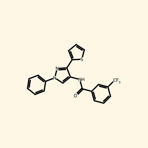 O=C(Nc1cn(-c2ccccc2)nc1-c1cccs1)c1cccc(C(F)(F)F)c1